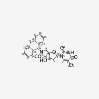 CCc1cn([C@H]2C[C@H](O)[C@@H](CN(C(=O)O)C3c4ccccc4Cc4ccccc43)O2)c(=O)[nH]c1=O